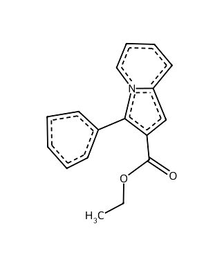 CCOC(=O)c1cc2ccccn2c1-c1ccccc1